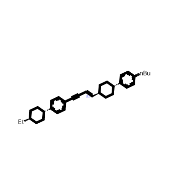 CCCCc1ccc([C@H]2CC[C@H](/C=C/C#Cc3ccc([C@H]4CC[C@H](CC)CC4)cc3)CC2)cc1